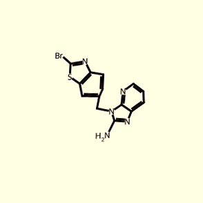 Nc1nc2cccnc2n1Cc1ccc2nc(Br)sc2c1